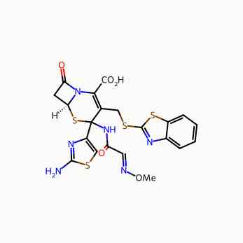 CON=CC(=O)NC1(c2csc(N)n2)S[C@H]2CC(=O)N2C(C(=O)O)=C1CSc1nc2ccccc2s1